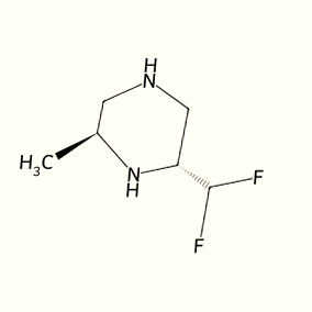 C[C@H]1CNC[C@H](C(F)F)N1